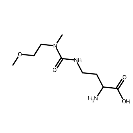 COCCN(C)C(=O)NCCC(N)C(=O)O